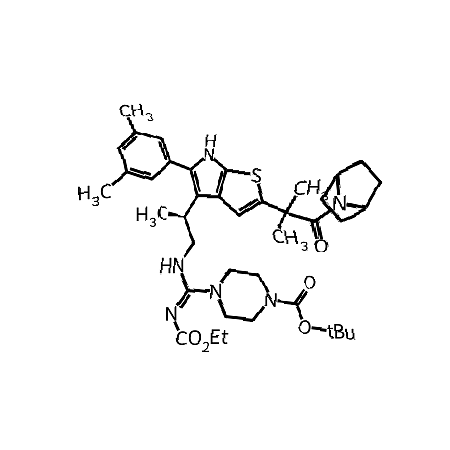 CCOC(=O)/N=C(/NC[C@@H](C)c1c(-c2cc(C)cc(C)c2)[nH]c2sc(C(C)(C)C(=O)N3C4CCC3CC4)cc12)N1CCN(C(=O)OC(C)(C)C)CC1